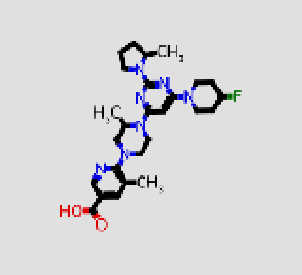 Cc1cc(C(=O)O)cnc1N1CCN(c2cc(N3CCC(F)CC3)nc(N3CCCC3C)n2)C(C)C1